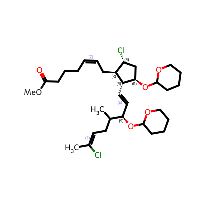 COC(=O)CCC/C=C\C[C@@H]1[C@@H](/C=C/[C@@H](OC2CCCCO2)C(C)C/C=C(/C)Cl)[C@H](OC2CCCCO2)C[C@H]1Cl